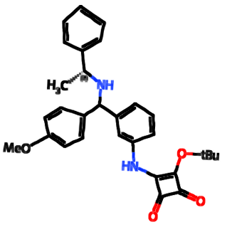 COc1ccc(C(N[C@H](C)c2ccccc2)c2cccc(Nc3c(OC(C)(C)C)c(=O)c3=O)c2)cc1